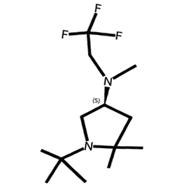 CN(CC(F)(F)F)[C@@H]1CN(C(C)(C)C)C(C)(C)C1